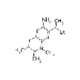 C=C(CC)c1cc2c(cc1N)CC(C)C(=C)N2C